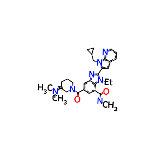 C=NC(=O)c1cc(C(=O)N2CCC[C@@H](N(C)C)C2)cc2nc(-c3cc4cccnc4n3CC3CC3)n(CC)c12